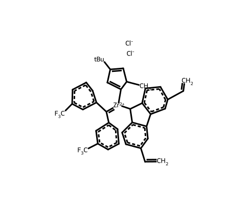 C=Cc1ccc2c(c1)-c1cc(C=C)ccc1[CH]2[Zr+2]([C]1=CC(C(C)(C)C)=CC1C)=[C](c1cccc(C(F)(F)F)c1)c1cccc(C(F)(F)F)c1.[Cl-].[Cl-]